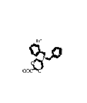 O=C([O-])[C@H]1OC[C@H](N(Cc2ccccc2)Cc2ccccc2)CO1.[Li+]